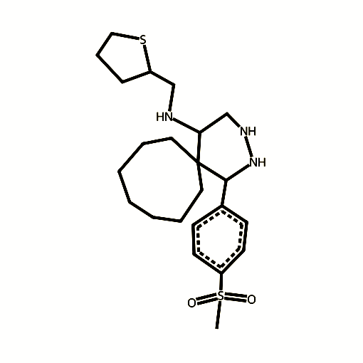 CS(=O)(=O)c1ccc(C2NNCC(NCC3CCCS3)C23CCCCCCC3)cc1